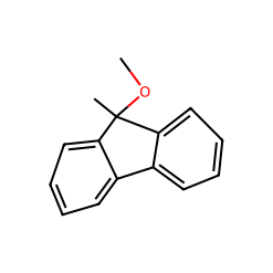 COC1(C)c2ccccc2-c2ccccc21